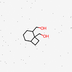 OCC1CCCC2CCC12CO